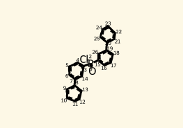 O=P(Cl)(c1cccc(-c2ccccc2)c1)c1cccc(-c2ccccc2)c1